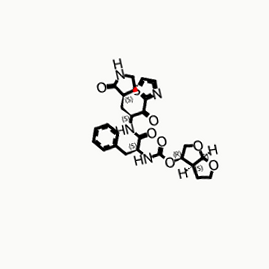 O=C(N[C@@H](Cc1ccccc1)C(=O)N[C@@H](C[C@@H]1CCNC1=O)C(=O)c1nccs1)O[C@H]1CO[C@H]2OCC[C@H]21